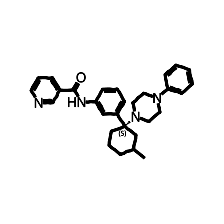 CC1CCC[C@](c2cccc(NC(=O)c3cccnc3)c2)(N2CCN(c3ccccc3)CC2)C1